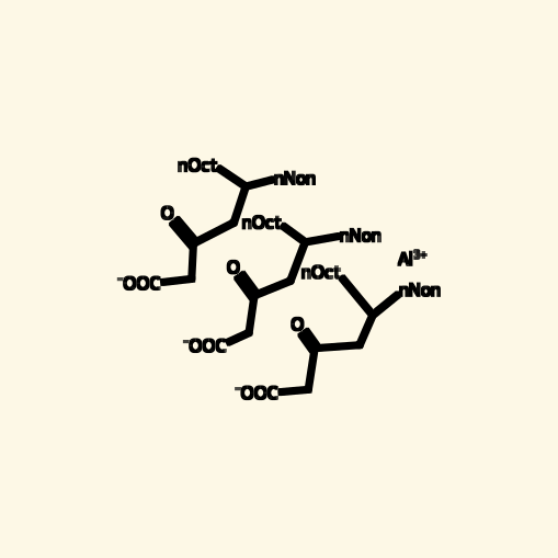 CCCCCCCCCC(CCCCCCCC)CC(=O)CC(=O)[O-].CCCCCCCCCC(CCCCCCCC)CC(=O)CC(=O)[O-].CCCCCCCCCC(CCCCCCCC)CC(=O)CC(=O)[O-].[Al+3]